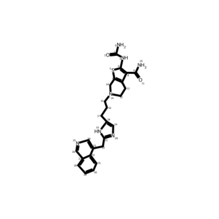 NC(=O)Nc1sc2c(c1C(N)=O)CCN(CCCc1cnc(Cc3cncc4ccccc34)[nH]1)C2